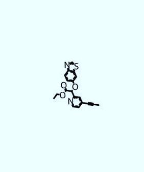 CC#Cc1ccnc(C(Oc2ccc3ncsc3c2)C(=O)OCC)c1